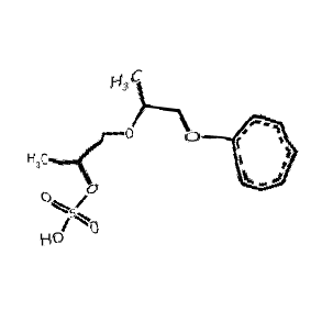 CC(COc1ccccc1)OCC(C)OS(=O)(=O)O